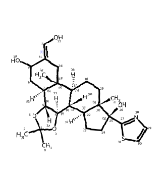 CC1(C)O[C@H]2[C@H](O1)[C@H]1CC(O)/C(=C/O)C[C@]1(C)[C@H]1CC[C@@]3(C)[C@@H](CC[C@@]3(O)c3nccs3)[C@H]21